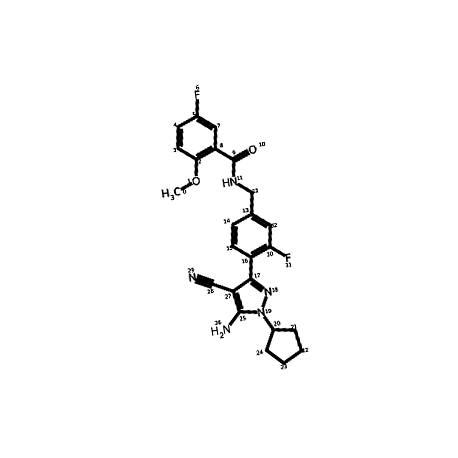 COc1ccc(F)cc1C(=O)NCc1ccc(-c2nn(C3CCCC3)c(N)c2C#N)c(F)c1